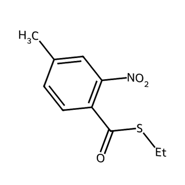 CCSC(=O)c1ccc(C)cc1[N+](=O)[O-]